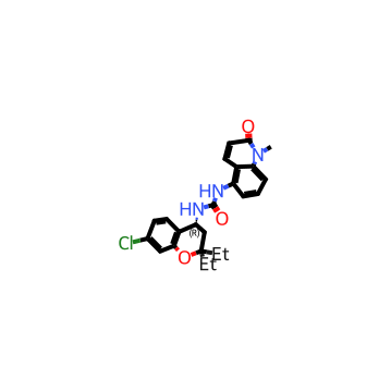 CCC1(CC)C[C@@H](NC(=O)Nc2cccc3c2ccc(=O)n3C)c2ccc(Cl)cc2O1